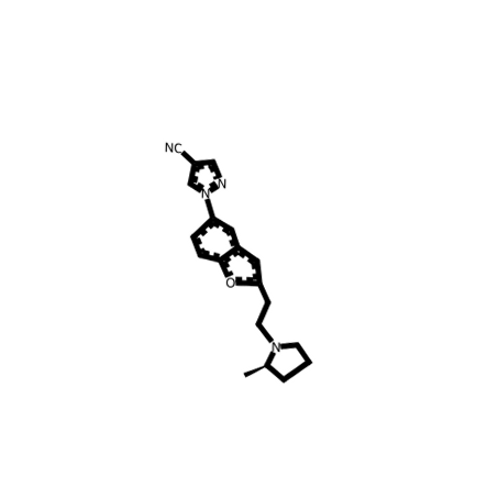 C[C@@H]1CCCN1CCc1cc2cc(-n3cc(C#N)cn3)ccc2o1